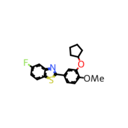 COc1ccc(-c2nc3cc(F)ccc3s2)cc1OC1CCCC1